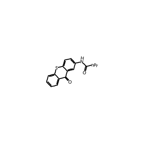 CCCC(=O)Nc1ccc2sc3ccccc3c(=O)c2c1